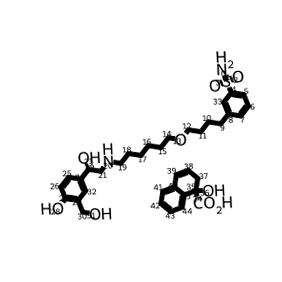 NS(=O)(=O)c1cccc(CCCCOCCCCCCNC[C@H](O)c2ccc(O)c(CO)c2)c1.O=C(O)C1(O)CC=Cc2ccccc21